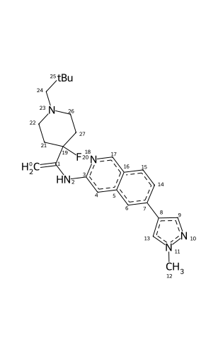 C=C(Nc1cc2cc(-c3cnn(C)c3)ccc2cn1)C1(F)CCN(CC(C)(C)C)CC1